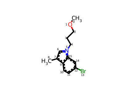 COCCCn1cc(C)c2ccc(Br)cc21